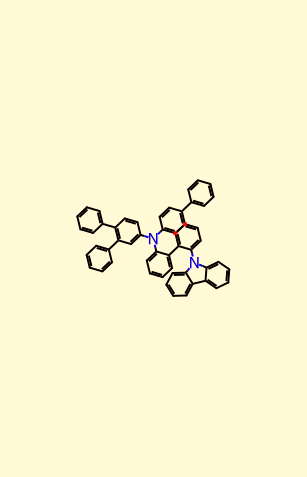 c1ccc(-c2ccc(N(c3ccc(-c4ccccc4)c(-c4ccccc4)c3)c3ccccc3-c3ccccc3-n3c4ccccc4c4ccccc43)cc2)cc1